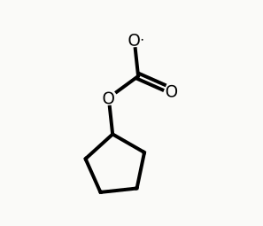 [O]C(=O)OC1CCCC1